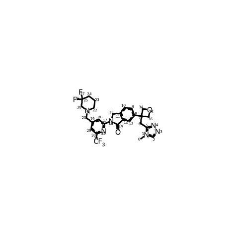 Cn1cnnc1CC1(c2ccc3c(c2)C(=O)N(c2cc(CN4CCCC(F)(F)C4)cc(C(F)(F)F)n2)C3)COC1